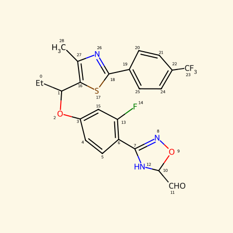 CCC(Oc1ccc(C2=NOC(C=O)N2)c(F)c1)c1sc(-c2ccc(C(F)(F)F)cc2)nc1C